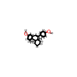 COc1ccc(C2=Cc3cc(OC)ccc3[C@@H]3CCCC[C@H]23)cc1